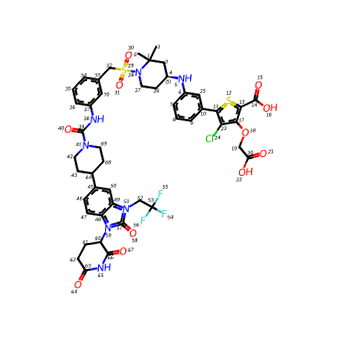 CC1(C)C[C@@H](Nc2cccc(-c3sc(C(=O)O)c(OCC(=O)O)c3Cl)c2)CCN1S(=O)(=O)Cc1cccc(NC(=O)N2CCC(c3ccc4c(c3)n(CC(F)(F)F)c(=O)n4C3CCC(=O)NC3=O)CC2)c1